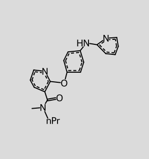 CCCN(C)C(=O)c1cccnc1Oc1ccc(Nc2ccccn2)cc1